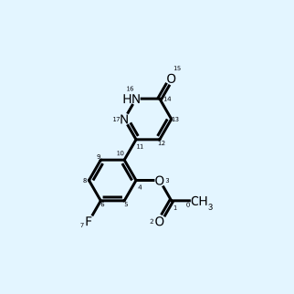 CC(=O)Oc1cc(F)ccc1-c1ccc(=O)[nH]n1